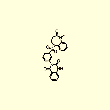 CN1C(=O)CCN(S(=O)(=O)c2cccc(-n3c(=O)[nH]c4ccccc4c3=O)c2)c2ccccc21